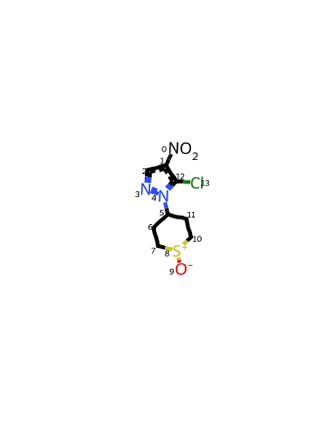 O=[N+]([O-])c1cnn(C2CC[S+]([O-])CC2)c1Cl